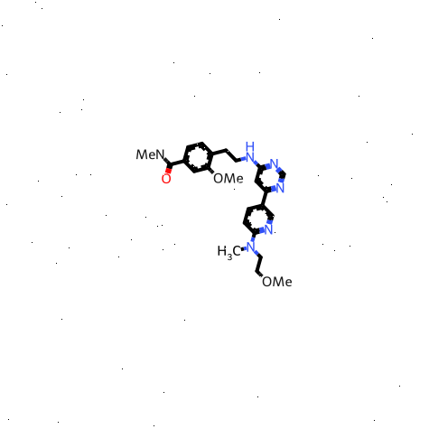 CNC(=O)c1ccc(CCNc2cc(-c3ccc(N(C)CCOC)nc3)ncn2)c(OC)c1